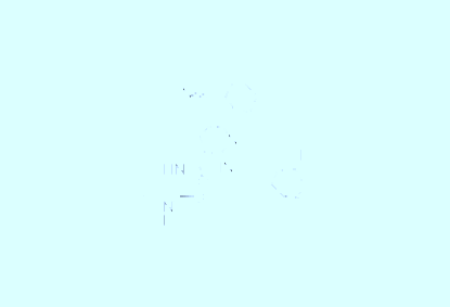 N#Cc1ccccc1-c1ccc(C(=O)NC2CCCNC2=O)c(NCCc2cccc(F)c2)n1